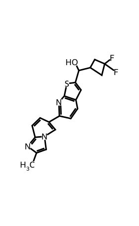 Cc1cn2cc(-c3ccc4cc(C(O)C5CC(F)(F)C5)sc4n3)ccc2n1